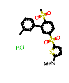 CNc1ccc(S(=O)(=O)c2ccc(S(C)(=O)=O)c(-c3cccc(C)c3)c2)s1.Cl